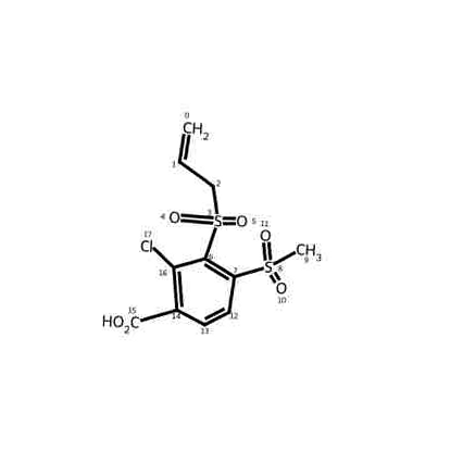 C=CCS(=O)(=O)c1c(S(C)(=O)=O)ccc(C(=O)O)c1Cl